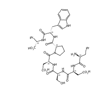 CC(C)C[C@H](N)C(=O)N[C@@H](CC(=O)O)C(=O)N[C@@H](CO)C(=O)N[C@@H](CC(=O)O)C(=O)N1CCC[C@H]1C(=O)N[C@@H](Cc1c[nH]c2ccccc12)C(=O)N[C@H](C(=O)O)C(C)C